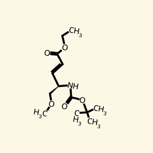 CCOC(=O)/C=C/[C@H](COC)NC(=O)OC(C)(C)C